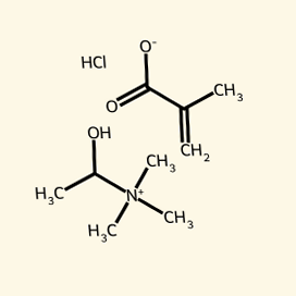 C=C(C)C(=O)[O-].CC(O)[N+](C)(C)C.Cl